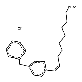 CCCCCCCCCCCCCCCCC/C=C\c1cc[n+](Cc2ccccc2)cc1.[Cl-]